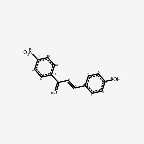 O=C(C=Cc1ccc(O)cc1)c1ccc([N+](=O)[O-])cc1